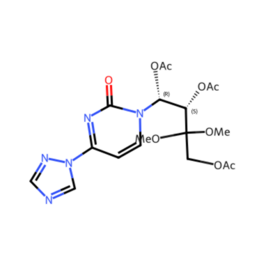 COC(COC(C)=O)(OC)[C@@H](OC(C)=O)[C@@H](OC(C)=O)n1ccc(-n2cncn2)nc1=O